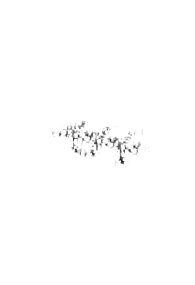 CO[C@H]1C[C@H](O)[C@@H](O[C@@H]2OC(COS(=O)(=O)O)[C@@H](O[C@H]3C[C@H](O)[C@@H](O[C@@H]4OC(COS(=O)(=O)O)[C@@H](O[C@H]5C[C@H](O)[C@@H](O[C@@H]6OC(COS(=O)(=O)O)[C@@H](O[C@H]7C[C@H](O)[C@H](O)C(C)O7)[C@H](O)C6NSOOO)C(C)O5)[C@H](O)C4NSOOO)C(C)O3)[C@H](O)C2NSOOO)C(C)O1